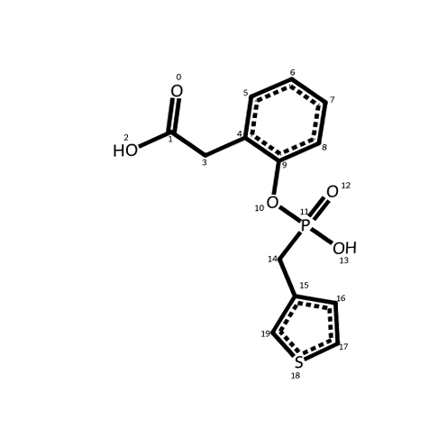 O=C(O)Cc1ccccc1OP(=O)(O)Cc1ccsc1